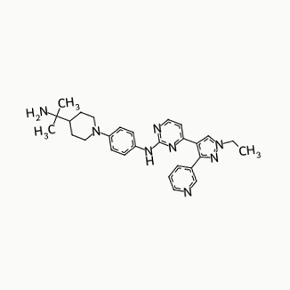 CCn1cc(-c2ccnc(Nc3ccc(N4CCC(C(C)(C)N)CC4)cc3)n2)c(-c2cccnc2)n1